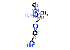 Cn1c(=O)n(CCN2CCN(c3ccc(OCC4CCNCC4)cc3F)CC2)c2nc(N)n3nc(-c4ccco4)nc3c21